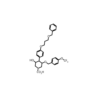 O=C(O)N1CC(O)C(c2ccc(OCCCOCc3ccccc3)cc2)C(OCc2ccc(OC(F)(F)F)cc2)C1